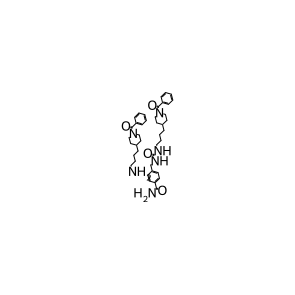 NC(=O)c1ccc(CNC(=O)NCCCCC2CCN(C(=O)c3ccccc3)CC2)cc1.NCCCCC1CCN(C(=O)c2ccccc2)CC1